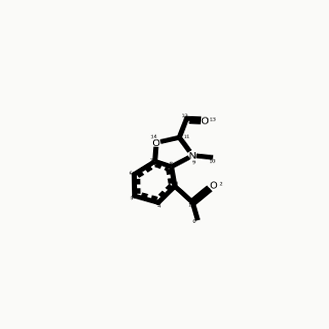 CC(=O)c1cccc2c1N(C)C(C=O)O2